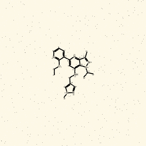 CCOc1ncccc1-c1cc(NCc2cnn(C)c2)c2c(n1)c(C)nn2C(C)C